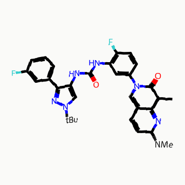 CNC1C=CC2=CN(c3ccc(F)c(NC(=O)Nc4cn(C(C)(C)C)nc4-c4cccc(F)c4)c3)C(=O)C(C)C2=N1